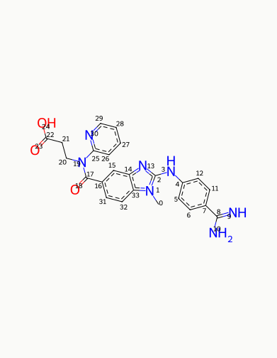 Cn1c(Nc2ccc(C(=N)N)cc2)nc2cc(C(=O)N(CCC(=O)O)c3ccccn3)ccc21